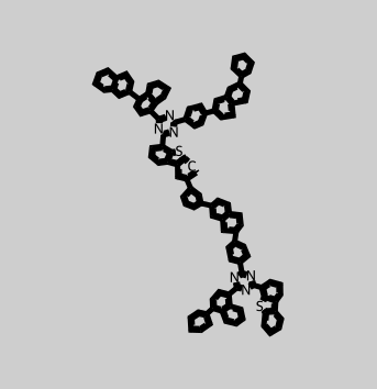 c1ccc(-c2ccc3ccc(-c4ccc(-c5nc(-c6ccc(-c7ccc8ccccc8c7)c7ccccc67)nc(-c6cccc7c6sc6ccc(-c8cccc(-c9ccc%10ccc(-c%11ccc(-c%12nc(-c%13ccc(-c%14ccccc%14)c%14ccccc%13%14)nc(-c%13cccc%14c%13sc%13ccccc%13%14)n%12)cc%11)cc%10c9)c8)cc67)n5)cc4)cc3c2)cc1